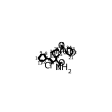 NC(=O)c1c(Cl)c(-c2ccccc2)n2c1CN(C(=O)N1CCOCC1)CC2